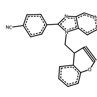 N#Cc1ccc(-c2nc3cnccc3n2CC2C#COc3ccccc32)cc1